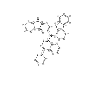 c1ccc(-c2ccc(N(c3ccc4oc5ccccc5c4c3)c3cccc4c3sc3ccccc34)c3ccccc23)cc1